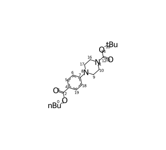 CCCCOC(=O)c1ccc(N2CCN(C(=O)OC(C)(C)C)CC2)cc1